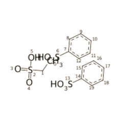 CCS(=O)(=O)O.O=S(=O)(O)c1ccccc1.O=S(=O)(O)c1ccccc1